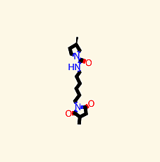 CC1CC(=O)N(CCCCCCNC(=O)N2CC[C@@H](C)C2)C1=O